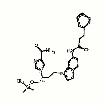 CC(C)(C)[Si](C)(C)OC[C@@H](CCn1ccc2ccc(NC(=O)CCc3ccccc3)cc21)n1cnc(C(N)=O)c1